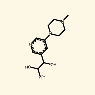 CCCC(O)C(O)c1cncc(N2CCN(C)CC2)c1